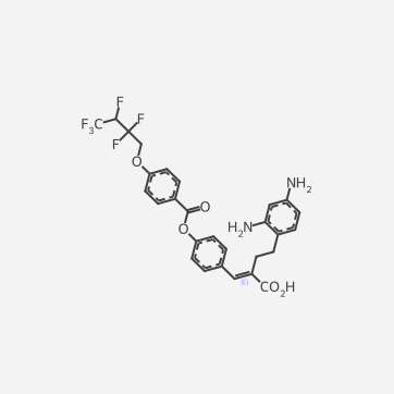 Nc1ccc(CC/C(=C\c2ccc(OC(=O)c3ccc(OCC(F)(F)C(F)C(F)(F)F)cc3)cc2)C(=O)O)c(N)c1